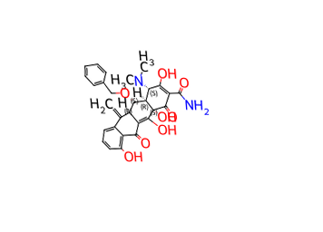 C=C1c2cccc(O)c2C(=O)C2=C(O)[C@]3(O)C(=O)C(C(N)=O)=C(O)[C@@H](N(C)C)[C@@H]3[C@@H](OCc3ccccc3)[C@H]12